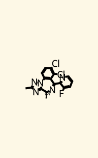 Cc1nc2n(n1)-c1ccc(Cl)c(Cl)c1C(c1ncccc1F)=N[C@H]2C